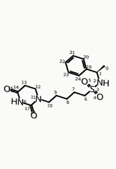 C[C@@H](NS(=O)(=O)CCCCCN1CCC(=O)NC1=O)c1ccccc1